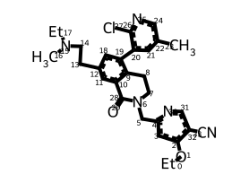 CCOc1cc(CN2CCc3c(cc(CCN(C)CC)cc3-c3cc(C)cnc3Cl)C2=O)ncc1C#N